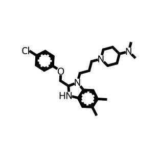 Cc1cc2c(cc1C)N(CCCN1CCC(N(C)C)CC1)C(COc1ccc(Cl)cc1)N2